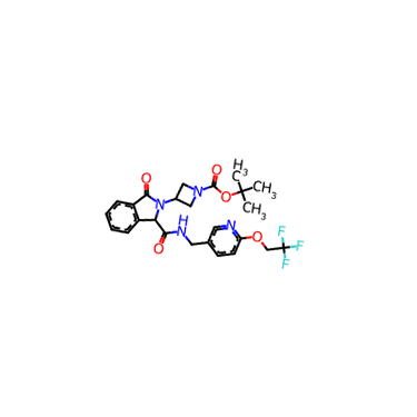 CC(C)(C)OC(=O)N1CC(N2C(=O)c3ccccc3C2C(=O)NCc2ccc(OCC(F)(F)F)nc2)C1